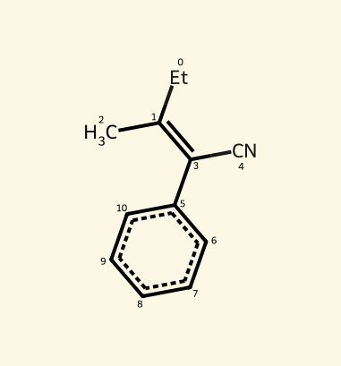 CCC(C)=C(C#N)c1ccccc1